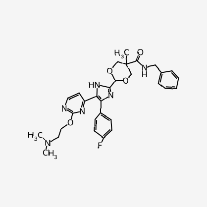 CN(C)CCOc1nccc(-c2[nH]c(C3OCC(C)(C(=O)NCc4ccccc4)CO3)nc2-c2ccc(F)cc2)n1